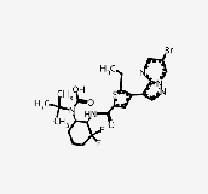 CCc1sc(C(=O)N[C@@H]2[C@H](N(C(=O)O)C(C)(C)C)CCCC2(F)F)cc1-c1cnn2cc(Br)cnc12